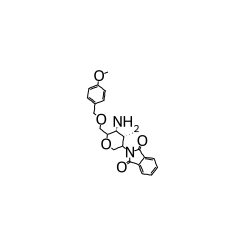 COc1ccc(COCC2OCC(N3C(=O)c4ccccc4C3=O)[C@@H](C)[C@H]2N)cc1